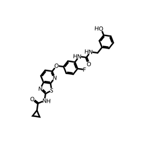 O=C(NCc1cccc(O)c1)Nc1cc(Oc2ccc3nc(NC(=O)C4CC4)sc3n2)ccc1F